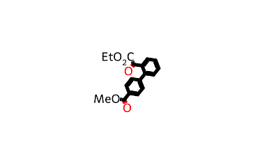 CCOC(=O)C(=O)c1ccccc1-c1ccc(C(=O)OC)cc1